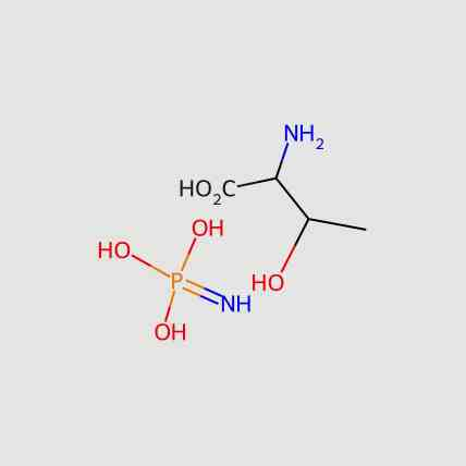 CC(O)C(N)C(=O)O.N=P(O)(O)O